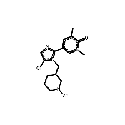 CC(=O)N1CCCC(Cn2c(Cl)cnc2-c2cc(C)c(=O)n(C)c2)C1